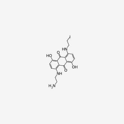 NCCNc1ccc(O)c2c1C(=O)c1c(O)ccc(NCCI)c1C2=O